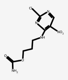 NC(=O)OCCCNc1nc(Cl)ncc1[N+](=O)[O-]